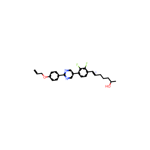 C=CCOc1ccc(-c2ncc(-c3ccc(/C=C/CCCC(C)O)c(F)c3F)cn2)cc1